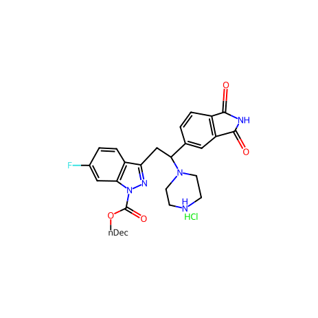 CCCCCCCCCCOC(=O)n1nc(CC(c2ccc3c(c2)C(=O)NC3=O)N2CCNCC2)c2ccc(F)cc21.Cl